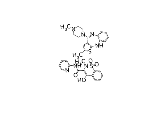 CN1C(C(=O)Nc2ccccn2)=C(O)c2ccccc2S1(=O)=O.Cc1cc2c(s1)Nc1ccccc1N=C2N1CCN(C)CC1